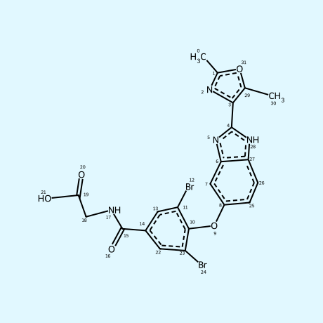 Cc1nc(-c2nc3cc(Oc4c(Br)cc(C(=O)NCC(=O)O)cc4Br)ccc3[nH]2)c(C)o1